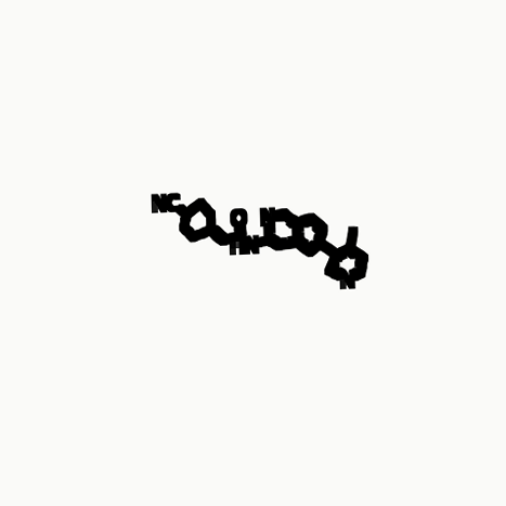 Cc1ccncc1-c1ccc2cnc(NC(=O)C=C3CCC(C#N)CC3)cc2c1